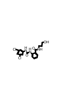 O=C(Nc1cc(Cl)cc(Cl)c1)Nc1ccccc1C(=O)NCCCO